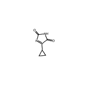 O=C1N=C(C2CC2)C(=O)N1